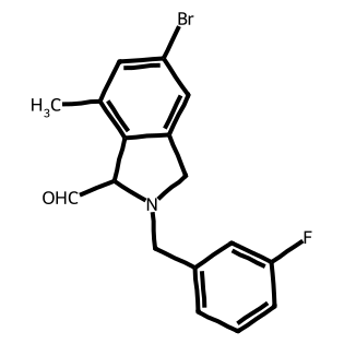 Cc1cc(Br)cc2c1C(C=O)N(Cc1cccc(F)c1)C2